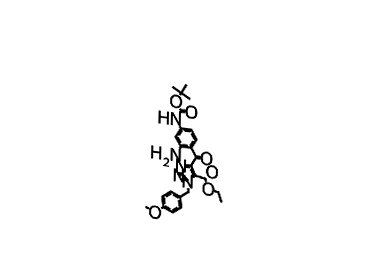 CCOC(=O)c1c(C(=O)c2ccc(NC(=O)OC(C)(C)C)cc2N)nnn1Cc1ccc(OC)cc1